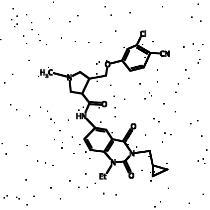 CCn1c(=O)n(CC2CC2)c(=O)c2cc(NC(=O)C3CN(C)CC3COc3ccc(C#N)c(Cl)c3)ccc21